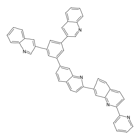 c1ccc(-c2ccc3ccc(-c4ccc5ccc(-c6cc(-c7cnc8ccccc8c7)cc(-c7cnc8ccccc8c7)c6)cc5n4)cc3n2)nc1